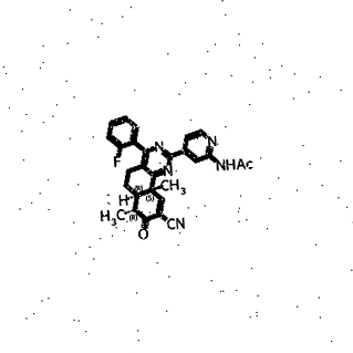 CC(=O)Nc1cc(-c2nc(-c3ccccc3F)c3c(n2)[C@]2(C)C=C(C#N)C(=O)[C@H](C)[C@H]2CC3)ccn1